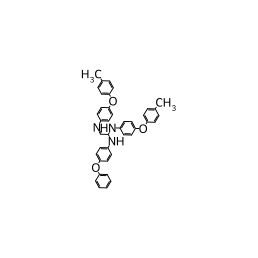 Cc1ccc(Oc2ccc(/N=C\C(Nc3ccc(Oc4ccccc4)cc3)Nc3ccc(Oc4ccc(C)cc4)cc3)cc2)cc1